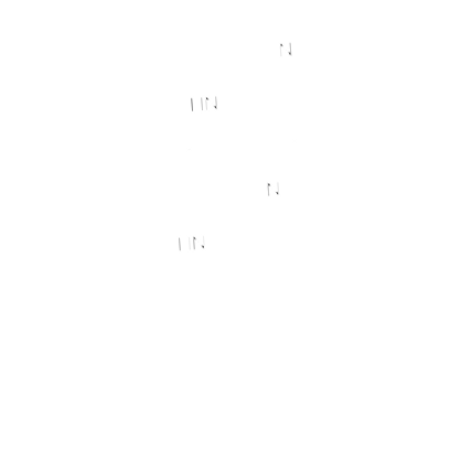 c1ccc(CNC2=Nc3cccnc3NC23CCCCC3)cc1